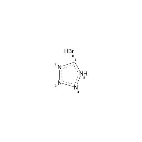 Br.c1nnn[nH]1